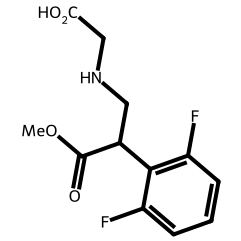 COC(=O)C(CNCC(=O)O)c1c(F)cccc1F